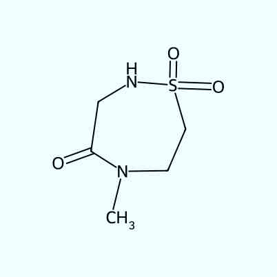 CN1CCS(=O)(=O)NCC1=O